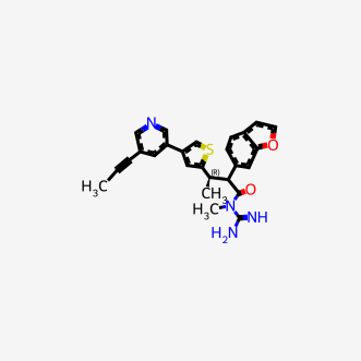 CC#Cc1cncc(-c2csc([C@H](C)C(C(=O)N(C)C(=N)N)c3ccc4ccoc4c3)c2)c1